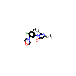 Cc1cc(=O)n(-c2ccc(F)c(N3CCOCC3)c2)c(C)n1